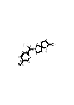 O=C1CCC2(CCN(C(c3ccc(Br)cn3)C(F)(F)F)C2)N1